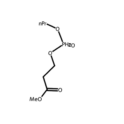 CCCO[PH](=O)OCCC(=O)OC